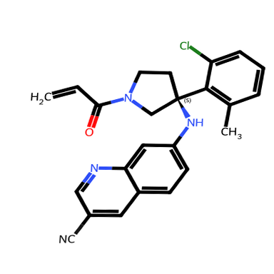 C=CC(=O)N1CC[C@](Nc2ccc3cc(C#N)cnc3c2)(c2c(C)cccc2Cl)C1